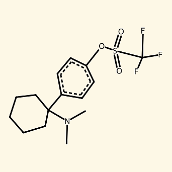 CN(C)C1(c2ccc(OS(=O)(=O)C(F)(F)F)cc2)CCCCC1